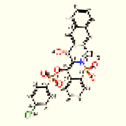 CN1C(C(=O)c2ccc3ccccc3c2)=C(OS(=O)(=O)c2ccc(Cl)cc2)c2ccccc2S1(=O)=O